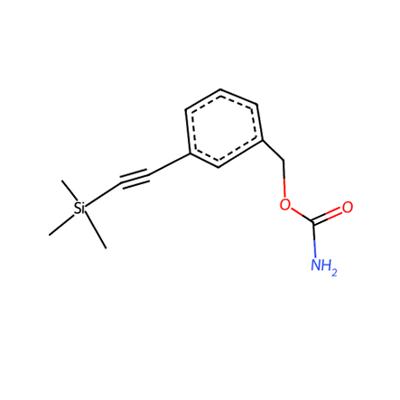 C[Si](C)(C)C#Cc1cccc(COC(N)=O)c1